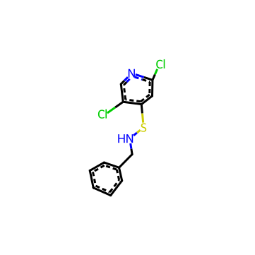 Clc1cc(SNCc2ccccc2)c(Cl)cn1